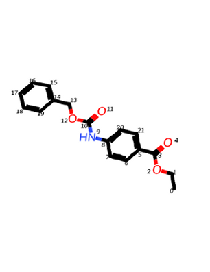 CCOC(=O)c1ccc(NC(=O)OCc2ccccc2)cc1